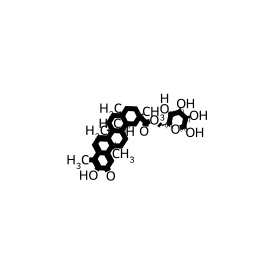 CC1=C(O)C(=O)C=C2C1=CC=C1[C@@]2(C)CC[C@@]2(C)[C@@H]3C[C@](C)(C(=O)OC[C@H]4O[C@@H](O)[C@H](O)[C@@H](O)[C@@H]4O)CC[C@]3(C)CC[C@]12C